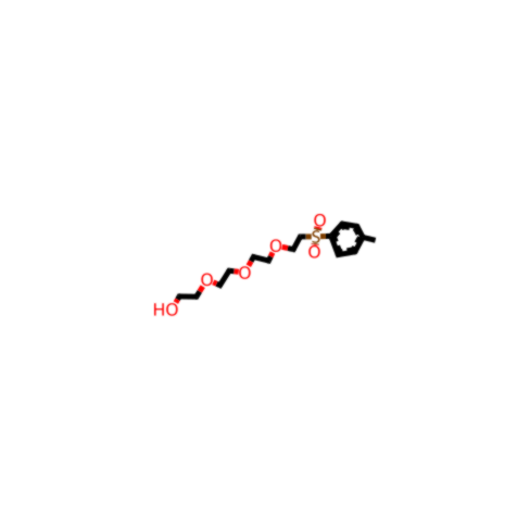 Cc1ccc(S(=O)(=O)CCOCCOCCOCCO)cc1